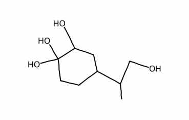 CC(CO)C1CCC(O)(O)C(O)C1